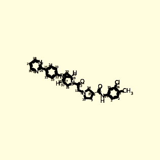 Cc1ccc(NC(=O)[C@@H]2CCN(CC(=O)N3C[C@@H]4C[C@H]3CN4c3ccc(-c4ncccn4)cc3)C2)cc1Cl